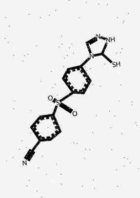 N#Cc1ccc(S(=O)(=O)c2ccc(N3C=NNC3S)cc2)cc1